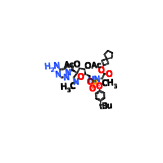 CN=C[C@@]1(c2ccc3c(N)ncnn23)O[C@H](COP(=O)(N[C@@H](C)C(=O)OC2CC3(CCCC3)C2)Oc2ccc(C(C)(C)C)cc2)[C@@H](OC(C)=O)[C@H]1OC(C)=O